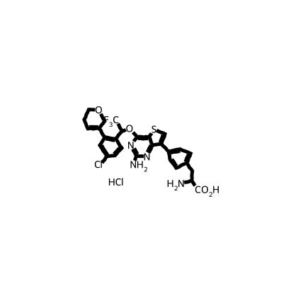 Cl.Nc1nc(OC(c2ccc(Cl)cc2C2=CCCOC2)C(F)(F)F)c2scc(-c3ccc(CC(N)C(=O)O)cc3)c2n1